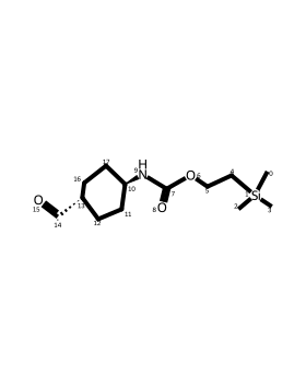 C[Si](C)(C)CCOC(=O)N[C@H]1CC[C@H]([C]=O)CC1